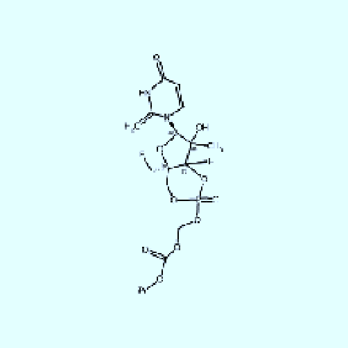 C=C1NC(=O)C=CN1[C@@H]1O[C@]2(CF)COP(=O)(OCOC(=O)OC(C)C)O[C@H]2[C@@]1(C)O